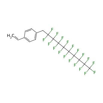 C=Cc1ccc(CC(F)(F)C(F)(F)C(F)(F)C(F)(F)C(F)(F)C(F)(F)C(F)(F)C(F)(F)C(F)(F)F)cc1